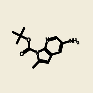 Cc1cc2cc(N)cnc2n1C(=O)OC(C)(C)C